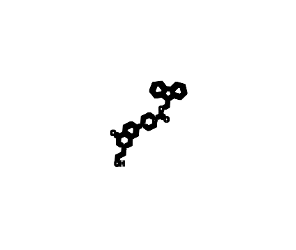 O=C1CN(CCO)Cc2cc(N3CCN(C(=O)OCC4c5ccccc5-c5ccccc54)CC3)ccc21